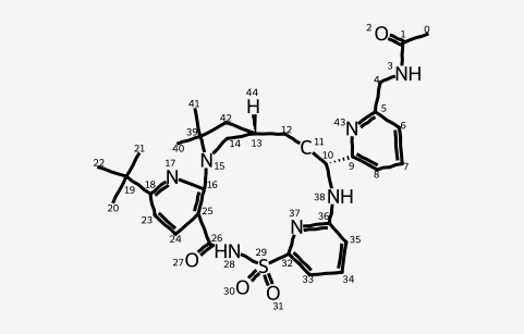 CC(=O)NCc1cccc([C@H]2CC[C@@H]3CN(c4nc(C(C)(C)C)ccc4C(=O)NS(=O)(=O)c4cccc(n4)N2)C(C)(C)C3)n1